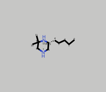 CCCCC[C@@H]1CNCC(C)(C)N1